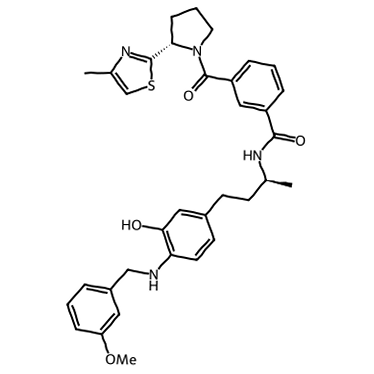 COc1cccc(CNc2ccc(CC[C@H](C)NC(=O)c3cccc(C(=O)N4CCC[C@H]4c4nc(C)cs4)c3)cc2O)c1